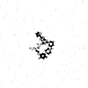 C[S+]([O-])CCOc1cc(N2CCN(C[C@@H]3CCCN(c4nc(N)n5nc(-c6ccco6)nc5n4)C3)CC2)c(F)cc1F